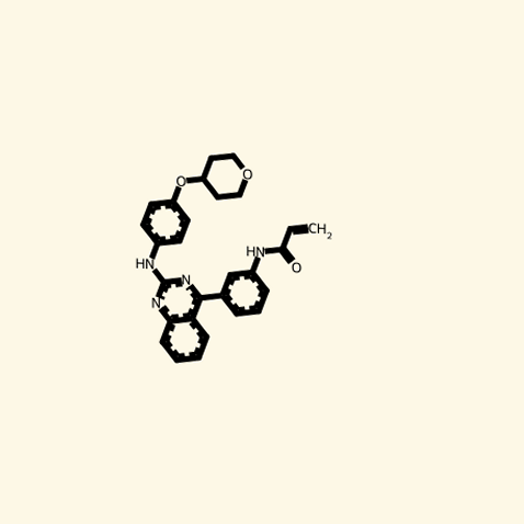 C=CC(=O)Nc1cccc(-c2nc(Nc3ccc(OC4CCOCC4)cc3)nc3ccccc23)c1